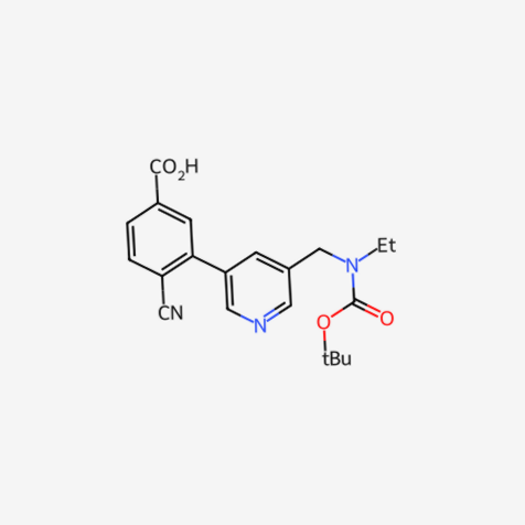 CCN(Cc1cncc(-c2cc(C(=O)O)ccc2C#N)c1)C(=O)OC(C)(C)C